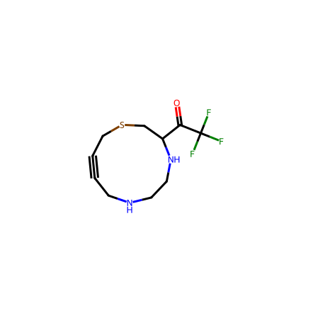 O=C(C1CSCC#CCNCCN1)C(F)(F)F